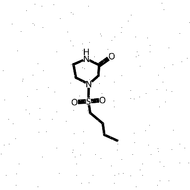 CCCCS(=O)(=O)N1CCNC(=O)C1